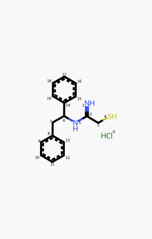 Cl.N=C(CS)NC(Cc1ccccc1)c1ccccc1